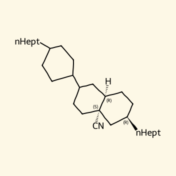 CCCCCCCC1CCC(C2CC[C@]3(C#N)C[C@H](CCCCCCC)CC[C@@H]3C2)CC1